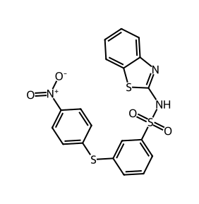 O=[N+]([O-])c1ccc(Sc2cccc(S(=O)(=O)Nc3nc4ccccc4s3)c2)cc1